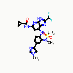 CN(c1cc(-c2cn(C)cn2)ccc1Nc1cc(NC(=O)C2CC2)nc2[nH]c(C(F)F)nc12)S(C)(=O)=O